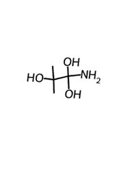 CC(C)(O)C(N)(O)O